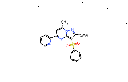 CSc1nn2c(C)cc(-c3ccccn3)nc2c1S(=O)(=O)c1ccccc1